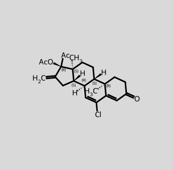 C=C1C[C@H]2[C@@H]3C=C(Cl)C4=CC(=O)CC[C@]4(C)[C@H]3CC[C@]2(C)[C@@]1(OC(C)=O)C(C)=O